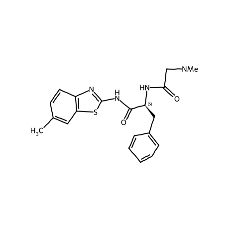 CNCC(=O)N[C@@H](Cc1ccccc1)C(=O)Nc1nc2ccc(C)cc2s1